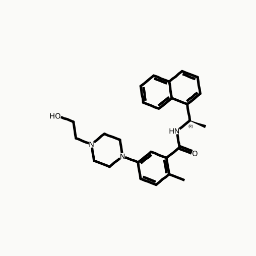 Cc1ccc(N2CCN(CCO)CC2)cc1C(=O)N[C@H](C)c1cccc2ccccc12